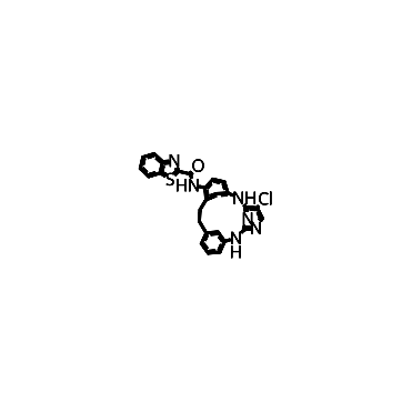 O=C(Nc1ccc2cc1CCc1cccc(c1)Nc1ncc(Cl)c(n1)N2)c1nc2ccccc2s1